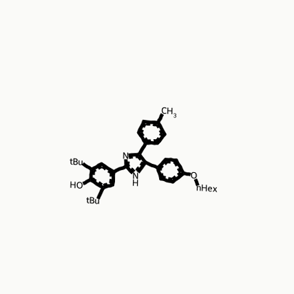 CCCCCCOc1ccc(-c2[nH]c(-c3cc(C(C)(C)C)c(O)c(C(C)(C)C)c3)nc2-c2ccc(C)cc2)cc1